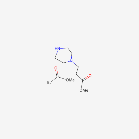 CCC(=O)OC.COC(=O)CCN1CCNCC1